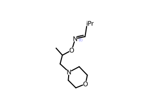 CC(C)/C=N/OC(C)CN1CCOCC1